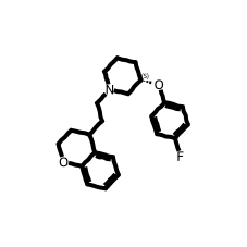 Fc1ccc(O[C@H]2CCCN(CCC3CCOc4ccccc43)C2)cc1